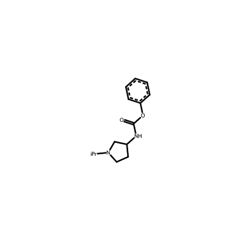 CC(C)N1CCC(NC(=O)Oc2ccccc2)C1